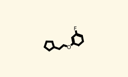 FC1=CC[CH]C(OCCC2CCCC2)=C1